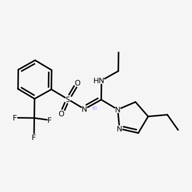 CCN/C(=N\S(=O)(=O)c1ccccc1C(F)(F)F)N1CC(CC)C=N1